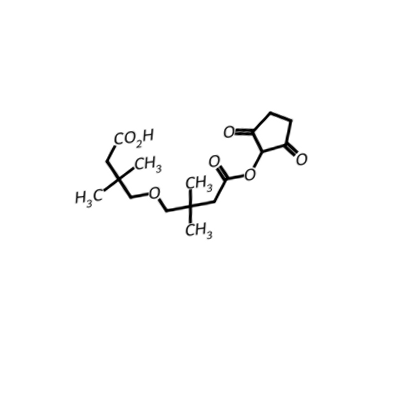 CC(C)(COCC(C)(C)CC(=O)OC1C(=O)CCC1=O)CC(=O)O